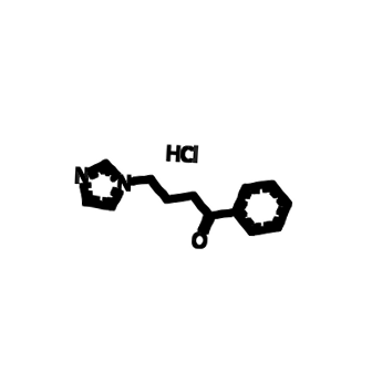 Cl.O=C(CCCn1ccnc1)c1ccccc1